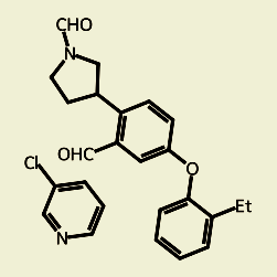 CCc1ccccc1Oc1ccc(C2CCN(C=O)C2)c(C=O)c1.Clc1cccnc1